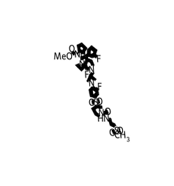 COC(=O)N[C@H]1CCC[C@@H]1C(CN1CCC1)(c1cccc(F)c1)C1CCN(CC2(F)CN(c3ccc(S(=O)(=O)C4CCCN(C(=O)NC/C=C/S(C)(=O)=O)C4)cc3F)C2)CC1